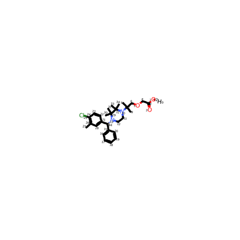 [2H]OC(=O)COCC(C)(C)N1CCN([C@H](c2ccccc2)c2ccc(Cl)c(C)c2)C(C)(C)C1(C)C